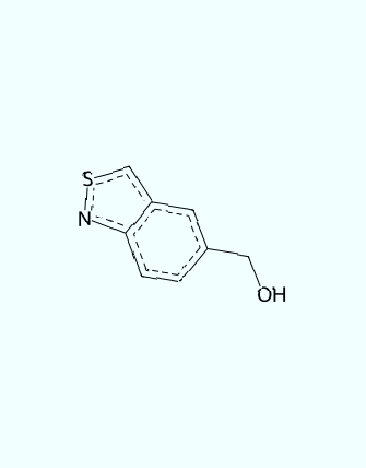 OCc1ccc2nscc2c1